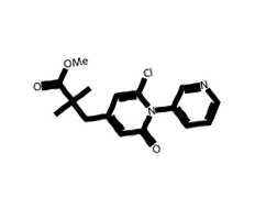 COC(=O)C(C)(C)Cc1cc(Cl)n(-c2cccnc2)c(=O)c1